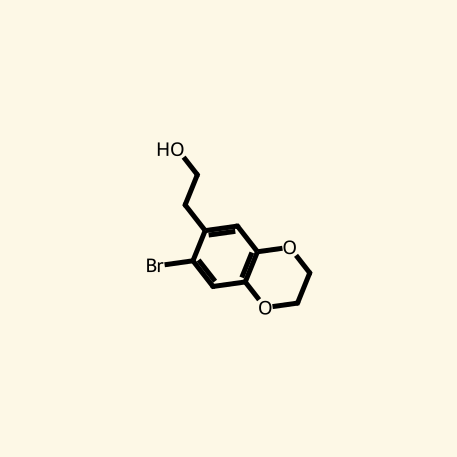 OCCc1cc2c(cc1Br)OCCO2